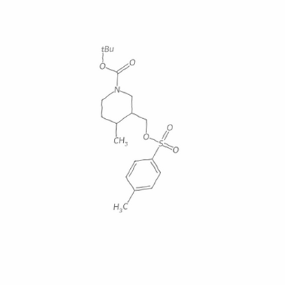 Cc1ccc(S(=O)(=O)OCC2CN(C(=O)OC(C)(C)C)CCC2C)cc1